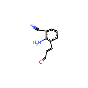 N#Cc1cccc(C=C[C]=O)c1N